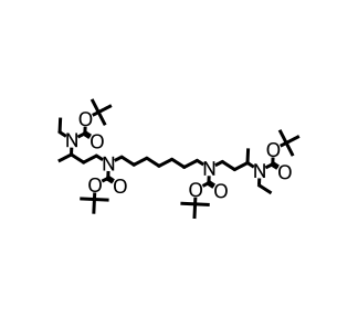 CCN(C(=O)OC(C)(C)C)C(C)CCN(CCCCCCCN(CCC(C)N(CC)C(=O)OC(C)(C)C)C(=O)OC(C)(C)C)C(=O)OC(C)(C)C